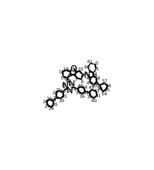 C1=Cc2c(n(-c3ccc4c(c3)oc3cccc(-c5nc(-c6ccc(-c7ccccc7)cc6)nc(-c6ccc(-c7ccccc7)cc6)n5)c34)c3ccc(-c4ccccc4)cc23)CC1